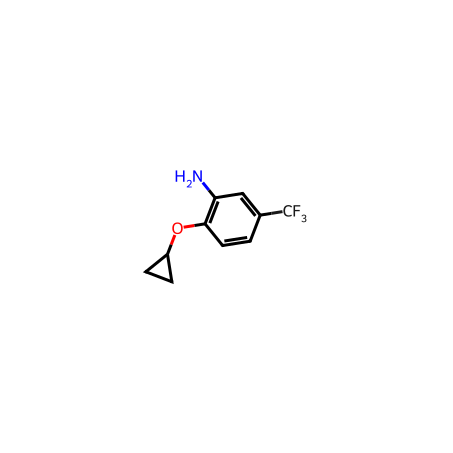 Nc1cc(C(F)(F)F)ccc1OC1CC1